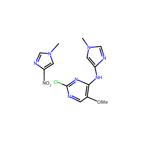 COc1cnc(Cl)nc1Nc1cn(C)cn1.Cn1cnc([N+](=O)[O-])c1